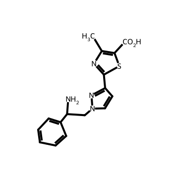 Cc1nc(-c2ccn(CC(N)c3ccccc3)n2)sc1C(=O)O